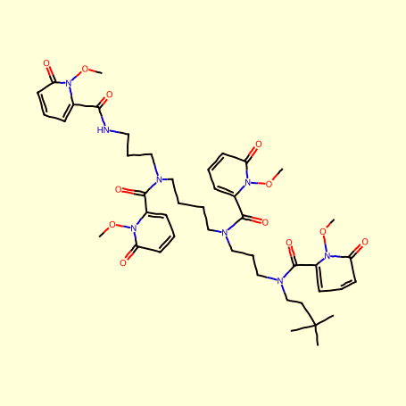 COn1c(C(=O)NCCCN(CCCCN(CCCN(CCC(C)(C)C)C(=O)c2cccc(=O)n2OC)C(=O)c2cccc(=O)n2OC)C(=O)c2cccc(=O)n2OC)cccc1=O